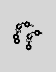 Brc1ccc(Cn2ccc3nc(-c4ccc5ccccc5c4)nc-3c2)cc1.Ic1ccc(Cn2ccc3nc(-c4ccccc4)nc-3c2)cc1